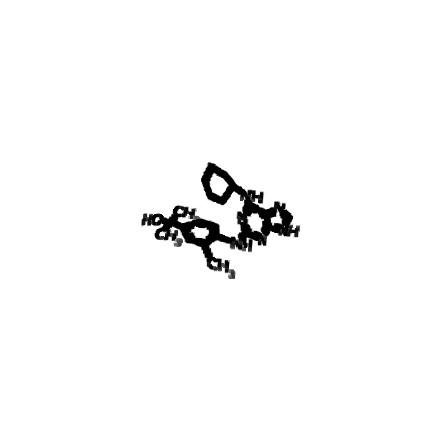 Cc1cc(C(C)(C)O)ccc1Nc1nc(NC2CCCCC2)c2nc[nH]c2n1